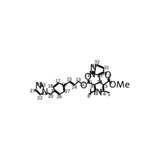 COC(=O)C1=C(C)NC(C)=C(C(=O)OCC=Cc2ccc(Cn3ccnc3)cc2)C1c1cccnn1